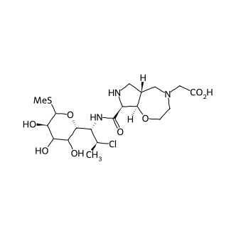 CSC1O[C@H]([C@H](NC(=O)[C@H]2NC[C@@H]3CN(CC(=O)O)CCO[C@H]32)[C@H](C)Cl)C(O)C(O)[C@H]1O